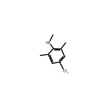 CBc1c(C)cc(C(F)(F)F)cc1C